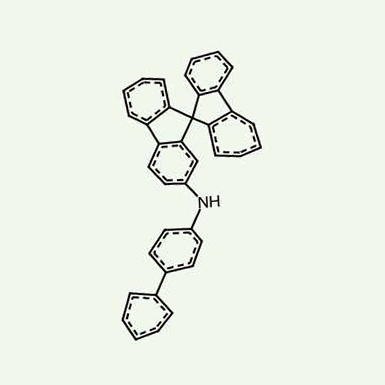 c1ccc(-c2ccc(Nc3ccc4c(c3)C3(c5ccccc5-c5ccccc53)c3ccccc3-4)cc2)cc1